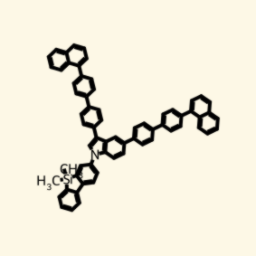 C[Si]1(C)c2ccccc2-c2ccc(-n3cc(-c4ccc(-c5ccc(-c6cccc7ccccc67)cc5)cc4)c4cc(-c5ccc(-c6ccc(-c7cccc8ccccc78)cc6)cc5)ccc43)cc21